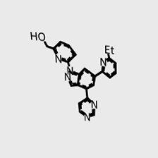 CCc1cccc(-c2cc(-c3ccncn3)c3cnn(-c4cccc(CO)n4)c3c2)n1